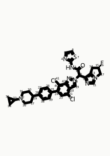 O=C(Nc1nccs1)C(c1ncn2c1C[C@@H](F)C2)n1cc2c(Cl)cc(-c3ccc(C4CCN(C5CC5)CC4)cc3)c(Cl)c2n1